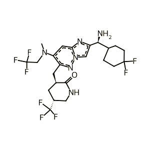 CN(CC(F)(F)F)c1cc2nc([C@@H](N)C3CCC(F)(F)CC3)cn2nc1C[C@@H]1C[C@@H](C(F)(F)F)CNC1=O